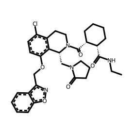 CCNC(=O)[C@H]1CCCC[C@H]1C(=O)N1CCc2c(Cl)ccc(OCc3noc4ccccc34)c2[C@H]1CN1CCCC1=O